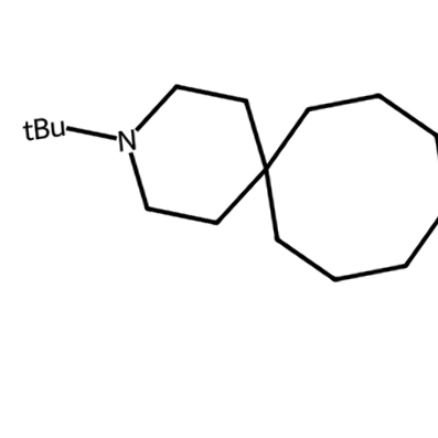 CC(C)(C)N1CCC2(CCCCCCC2)CC1